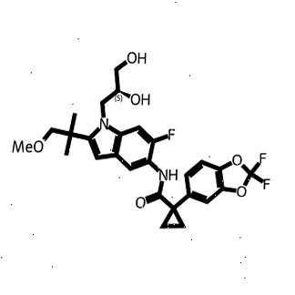 COCC(C)(C)c1cc2cc(NC(=O)C3(c4ccc5c(c4)OC(F)(F)O5)CC3)c(F)cc2n1C[C@H](O)CO